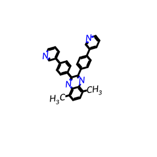 Cc1ccc(C)c2nc(-c3ccc(-c4cccnc4)cc3)c(-c3ccc(-c4cccnc4)cc3)nc12